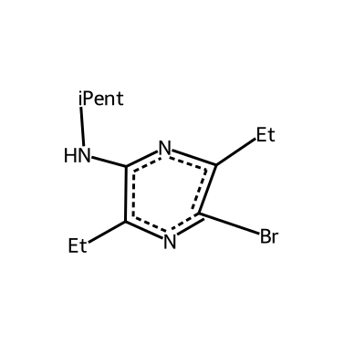 CCCC(C)Nc1nc(CC)c(Br)nc1CC